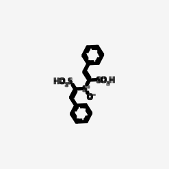 O=S(=O)(O)C(=Cc1ccccc1)[S+]([O-])C(=Cc1ccccc1)S(=O)(=O)O